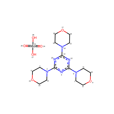 C1CN(c2nc(N3CCOCC3)nc(N3CCOCC3)n2)CCO1.[O]=[Mo](=[O])([OH])[OH]